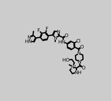 Cc1n[nH]cc1-c1ccc(-c2cnc(C(=O)Nc3ccc(C(=O)N4CCN(C(=O)C5NCC[N+]5(C)CCO)CC4)c(Cl)c3)n2C)c(F)c1F